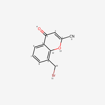 N#Cc1cc(=O)c2cccc(CBr)c2o1